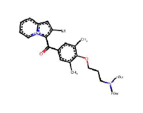 CCCCN(CCCC)CCCOc1c(C)cc(C(=O)c2c(CC)cc3ccccn23)cc1C